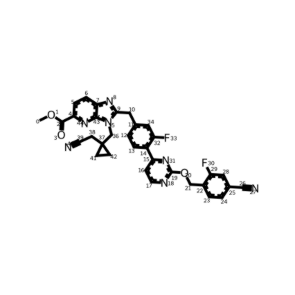 COC(=O)c1ccc2nc(Cc3ccc(-c4ccnc(OCc5ccc(C#N)cc5F)n4)c(F)c3)n(CC3(CC#N)CC3)c2n1